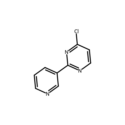 Clc1ccnc(-c2cccnc2)n1